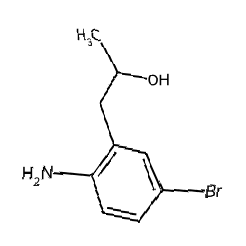 CC(O)Cc1cc(Br)ccc1N